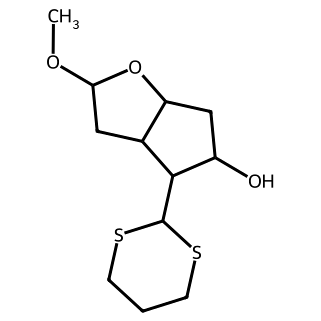 COC1CC2C(CC(O)C2C2SCCCS2)O1